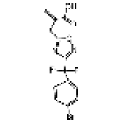 C=C(Cc1nc(C(F)(F)c2ccc(Br)cc2)no1)C(=O)O